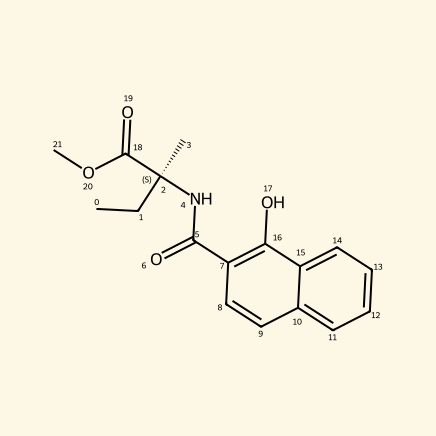 CC[C@](C)(NC(=O)c1ccc2ccccc2c1O)C(=O)OC